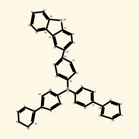 C1=CC(c2ccc(N(c3ccc(-c4ccccc4)cc3)c3ccc(-c4ccc5sc6ccccc6c5c4)cc3)cc2)=CCC1